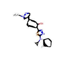 Cn1cc(-c2ccc(-c3nnc(N(C4CC4)[C@@H]4CCC[C@@H]4F)s3)c(O)c2)cn1